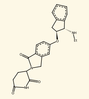 CCN[C@H]1c2ccccc2C[C@@H]1Oc1ccc2c(c1)CN(C1CCC(=O)NC1=O)C2=O